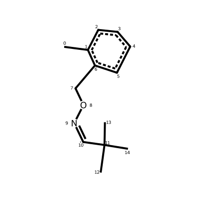 Cc1ccccc1CO/N=[C]\C(C)(C)C